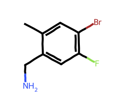 Cc1cc(Br)c(F)cc1CN